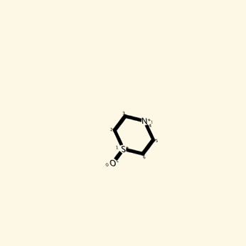 [O-][S+]1CC[N+]CC1